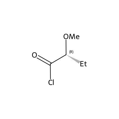 CC[C@@H](OC)C(=O)Cl